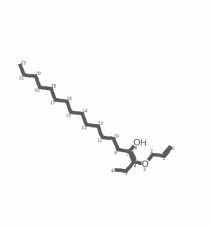 C=CCOC(CC)=C(O)[CH]CCCCCCCCCCCCC